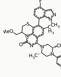 C=CC(=O)N1C[C@H](C)N(c2nc(=O)n3c4c(c(-c5ccc(F)c6cnn(C)c56)c(C)cc24)SCC3COC)C[C@H]1C